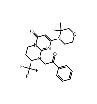 CC1(C)COCCN1c1cc(=O)n2c(n1)N(CC(=O)c1ccccc1)[C@H](C(F)(F)F)CC2